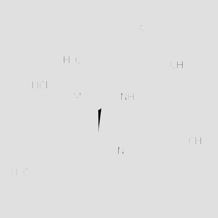 CCCN1CC[C@H](CC)C[C@H]1C(=O)Nc1c(C)csc1C.Cl